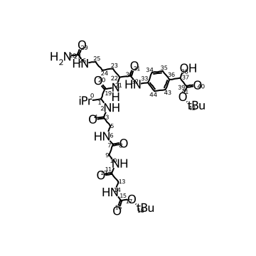 CC(C)C(NC(=O)CNC(=O)CNC(=O)CNC(=O)OC(C)(C)C)C(=O)NC(CCCNC(N)=O)C(=O)Nc1ccc(C(O)C(=O)OC(C)(C)C)cc1